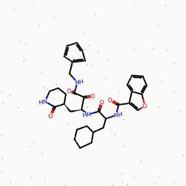 O=C(NCc1ccccc1)C(=O)[C@H](C[C@@H]1CCCNC1=O)NC(=O)C(CC1CCCCC1)NC(=O)c1coc2ccccc12